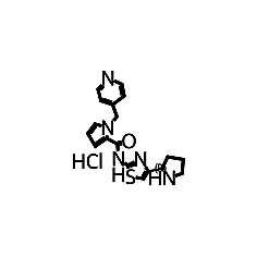 Cl.O=C(Nc1nc([C@H]2CCCN2)cs1)c1cccn1Cc1ccncc1